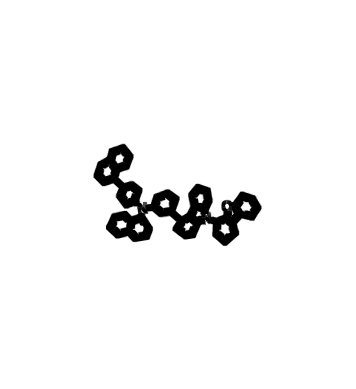 c1cc(-c2cccc3c2c2ccccc2n3-c2cccc3c2oc2ccccc23)cc(N(c2ccc(-c3cccc4ccccc34)cc2)c2cccc3ccccc23)c1